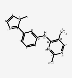 Cn1ccnc1-c1cccc(Nc2nc(Cl)ncc2[N+](=O)[O-])c1